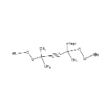 CCCCCCCC(C)(C#CC(C)(C)OOC(C)(C)C)OOC(C)(C)C